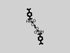 C=C(C)c1ccc(C(C)(C)NC(=O)OCCOC(=O)NC(C)(C)c2ccc(C(=C)C)cc2)cc1